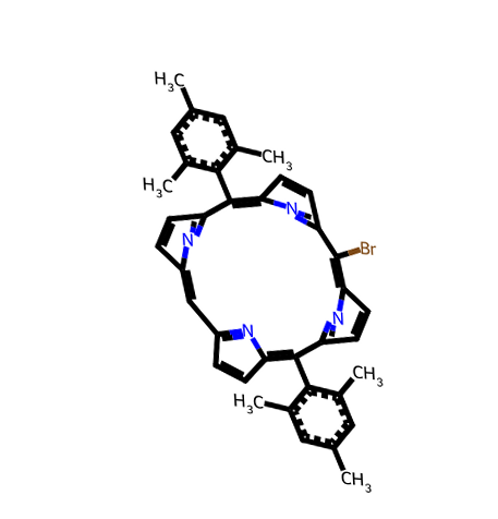 Cc1cc(C)c(C2=C3C=CC(=N3)C=C3C=CC(=N3)C(c3c(C)cc(C)cc3C)=C3C=CC(=N3)C(Br)=C3C=CC2=N3)c(C)c1